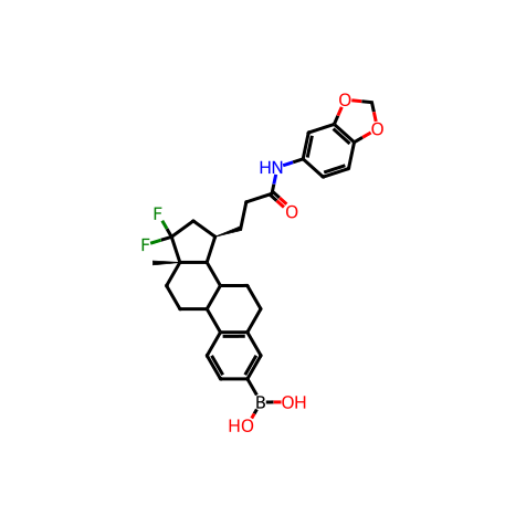 C[C@]12CCC3c4ccc(B(O)O)cc4CCC3C1[C@H](CCC(=O)Nc1ccc3c(c1)OCO3)CC2(F)F